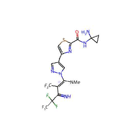 CN/C(=C(\C(=N)C(F)(F)C(F)(F)F)C(F)(F)F)n1cc(-c2csc(C(=O)NC3(N)CC3)n2)cn1